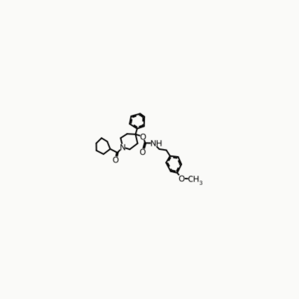 COc1ccc(CCNC(=O)OC2(c3ccccc3)CCN(C(=O)C3CCCCC3)CC2)cc1